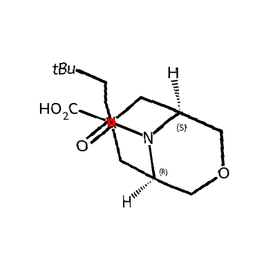 CC(C)(C)CC(=O)N1[C@@H]2COC[C@H]1CN(C(=O)O)C2